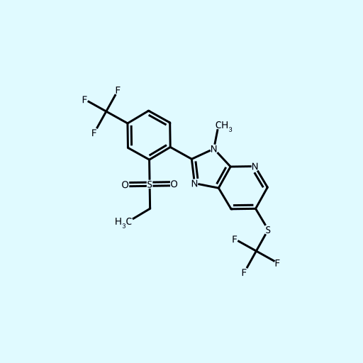 CCS(=O)(=O)c1cc(C(F)(F)F)ccc1-c1nc2cc(SC(F)(F)F)cnc2n1C